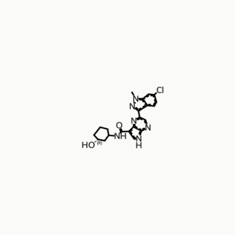 Cn1nc(-c2cnc3[nH]cc(C(=O)NC4CCC[C@@H](O)C4)c3n2)c2ccc(Cl)cc21